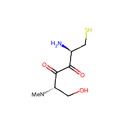 CN[C@@H](CO)C(=O)C(=O)[C@@H](N)CS